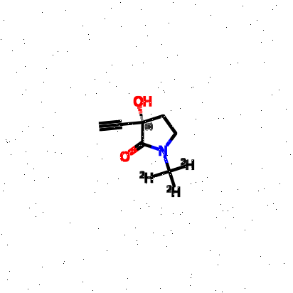 [2H]C([2H])([2H])N1CC[C@](O)(C#C)C1=O